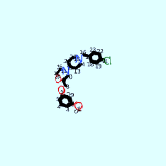 COc1cccc(OCC2CN(C3CCN(Cc4ccc(Cl)cc4)CC3)CCO2)c1